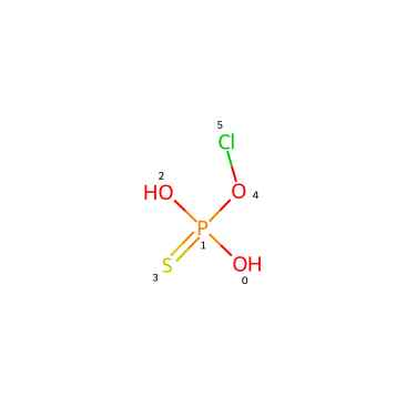 OP(O)(=S)OCl